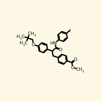 COC(=O)c1ccc(CC(C(=O)Nc2ccc(I)cc2)c2ccc(OCC(C)(C)C)cc2)cc1